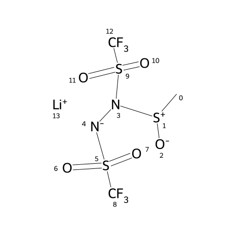 C[S+]([O-])N([N-]S(=O)(=O)C(F)(F)F)S(=O)(=O)C(F)(F)F.[Li+]